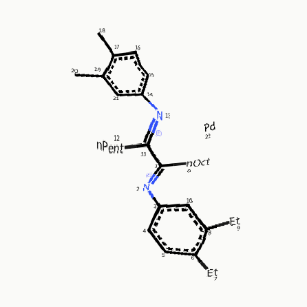 CCCCCCCCC(=N\c1ccc(CC)c(CC)c1)/C(CCCCC)=N/c1ccc(C)c(C)c1.[Pd]